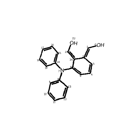 OC=c1cccc(N(c2ccccc2)c2ccccc2)c1=CO